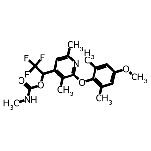 CNC(=O)OC(c1cc(C)nc(Oc2c(C)cc(OC)cc2C)c1C)C(F)(F)F